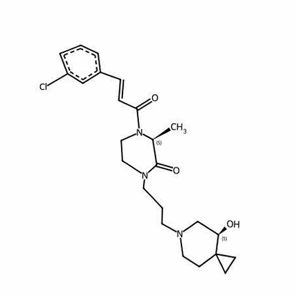 C[C@H]1C(=O)N(CCCN2CCC3(CC3)[C@H](O)C2)CCN1C(=O)C=Cc1cccc(Cl)c1